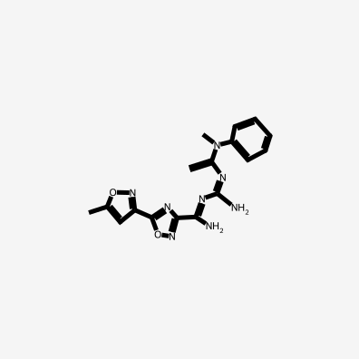 C=C(/N=C(N)\N=C(/N)c1noc(-c2cc(C)on2)n1)N(C)c1ccccc1